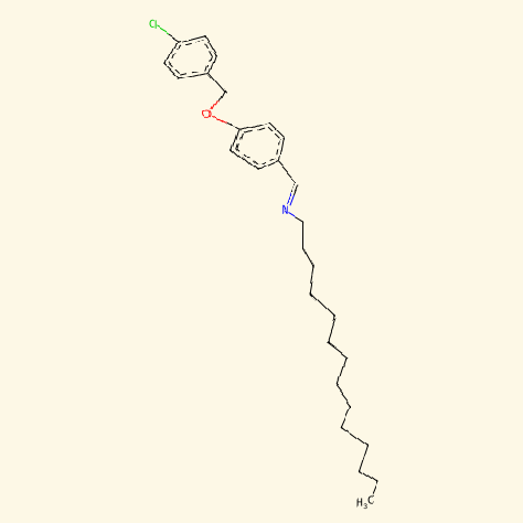 CCCCCCCCCCCCCCN=Cc1ccc(OCc2ccc(Cl)cc2)cc1